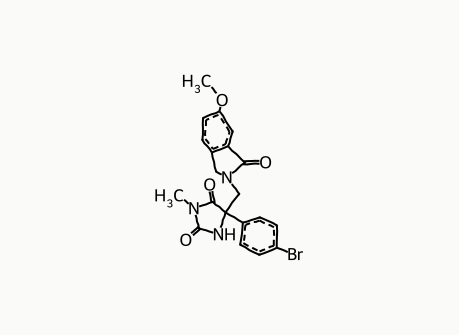 COc1ccc2c(c1)C(=O)N(CC1(c3ccc(Br)cc3)NC(=O)N(C)C1=O)C2